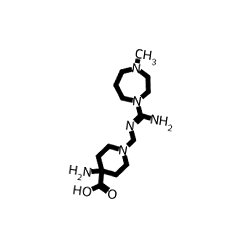 CN1CCCN(/C(N)=N/CN2CCC(N)(C(=O)O)CC2)CC1